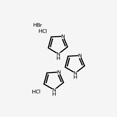 Br.Cl.Cl.c1c[nH]cn1.c1c[nH]cn1.c1c[nH]cn1